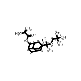 C=C(C)C(=O)OC1C2CC3CC1CC(C(C)(C)OCC(O)(C(F)(F)F)C(F)(F)F)(C3)C2